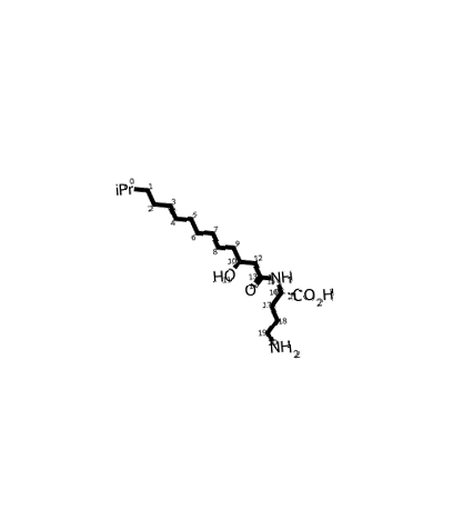 CC(C)CCCCCCCCCC(O)CC(=O)N[C@@H](CCCN)C(=O)O